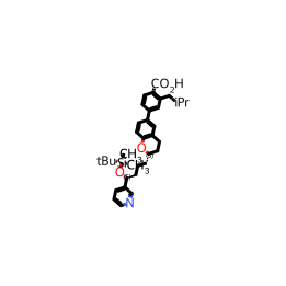 CC(C)Cc1cc(-c2ccc3c(c2)CC[C@H](CCC[C@H](O[Si](C)(C)C(C)(C)C)c2cccnc2)O3)ccc1C(=O)O